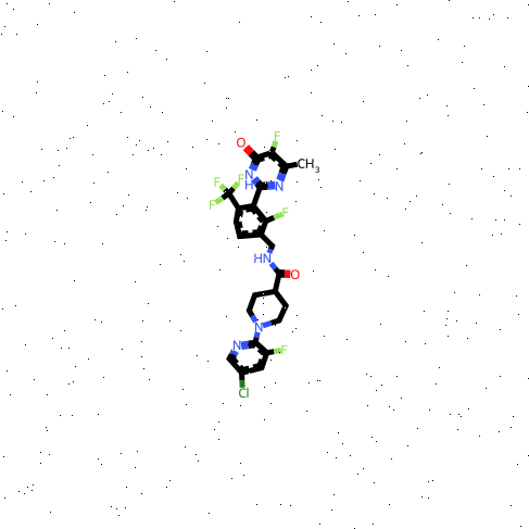 Cc1nc(-c2c(C(F)(F)F)ccc(CNC(=O)C3CCN(c4ncc(Cl)cc4F)CC3)c2F)[nH]c(=O)c1F